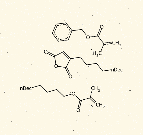 C=C(C)C(=O)OCCCCCCCCCCCCCC.C=C(C)C(=O)OCc1ccccc1.CCCCCCCCCCCCCCC1=CC(=O)OC1=O